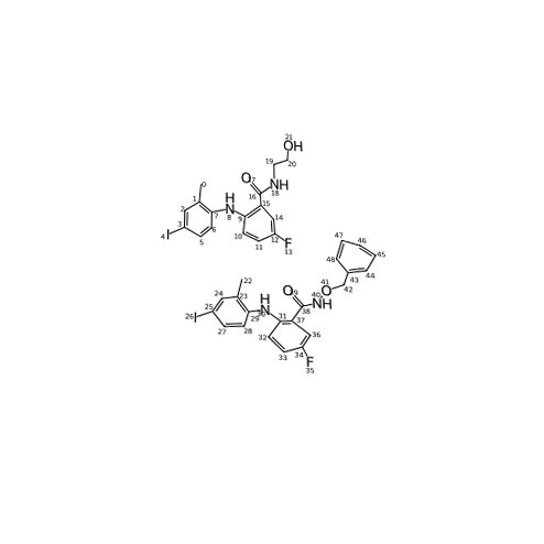 Cc1cc(I)ccc1Nc1ccc(F)cc1C(=O)NCCO.Cc1cc(I)ccc1Nc1ccc(F)cc1C(=O)NOCc1ccccc1